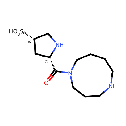 O=C([C@@H]1C[C@H](S(=O)(=O)O)CN1)N1CCCCNCCC1